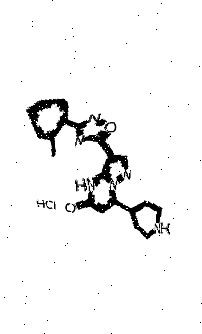 Cc1ccccc1-c1noc(-c2cnn3c(C4CCNCC4)cc(=O)[nH]c23)n1.Cl